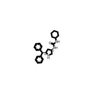 O=C(NC1CCCCC1)N[C@H]1CN[C@@H](C(c2ccccc2)c2ccccc2)C1